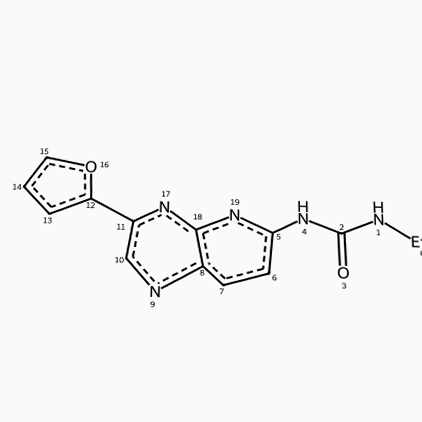 CCNC(=O)Nc1ccc2ncc(-c3ccco3)nc2n1